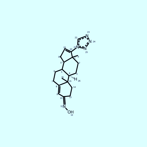 CC12CC[C@@H]3C(CCC4=C/C(=N/O)CCC43C)C1CC=C2n1cnnn1